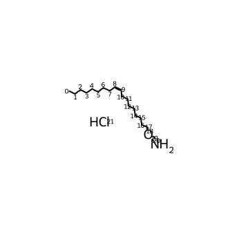 CCCCCCCC/C=C\CCCCCCCCOCN.Cl